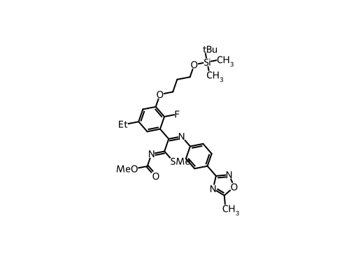 CCc1cc(OCCCO[Si](C)(C)C(C)(C)C)c(F)c(C(=Nc2ccc(-c3noc(C)n3)cc2)C(=NC(=O)OC)SC)c1